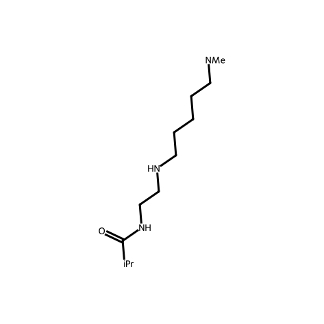 CNCCCCCNCCNC(=O)C(C)C